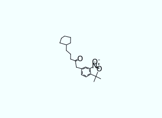 CC(C)(C)c1ccc(CC(=O)CCCC2CCCCC2)cc1[N+](=O)[O-]